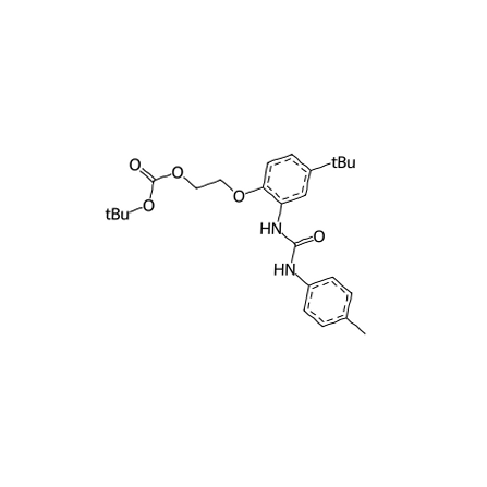 Cc1ccc(NC(=O)Nc2cc(C(C)(C)C)ccc2OCCOC(=O)OC(C)(C)C)cc1